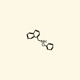 c1ccc(ONCc2cccc3ccccc23)cc1